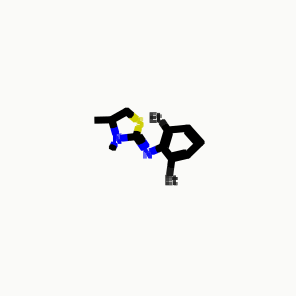 CCc1cccc(CC)c1N=C1SCC(C)N1C